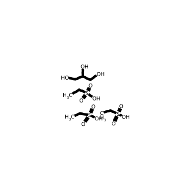 CCS(=O)(=O)O.CCS(=O)(=O)O.CCS(=O)(=O)O.OCC(O)CO